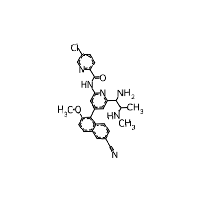 CNC(C)C(N)c1cc(-c2c(OC)ccc3cc(C#N)ccc23)cc(NC(=O)c2ccc(Cl)cn2)n1